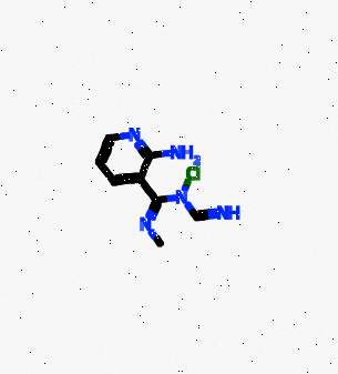 CN=C(c1cccnc1N)N(Cl)C=N